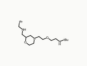 CC(C)CNCC1CN(CCOCCNC(C)(C)C)CCO1